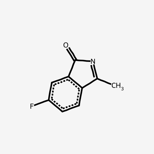 CC1=NC(=O)c2cc(F)ccc21